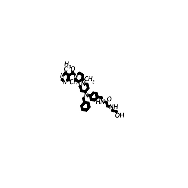 Cc1ncnc(C)c1C(=O)N1CCC(C)(N2CCC(N(Cc3ccccc3)c3ccc(CNC(=O)CNCCO)cc3)CC2)CC1